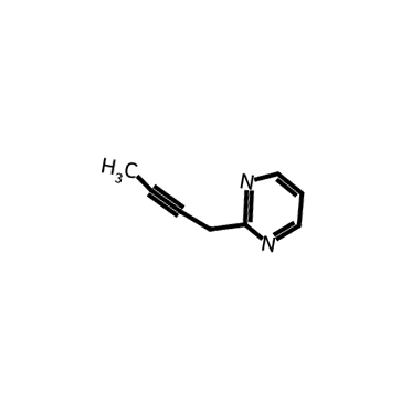 CC#CCc1ncccn1